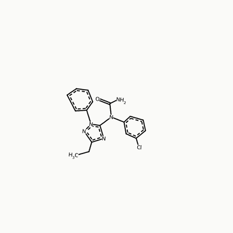 CCc1nc(N(C(N)=O)c2cccc(Cl)c2)n(-c2ccccc2)n1